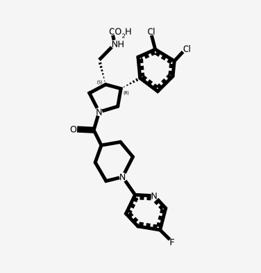 O=C(O)NC[C@H]1CN(C(=O)C2CCN(c3ccc(F)cn3)CC2)C[C@H]1c1ccc(Cl)c(Cl)c1